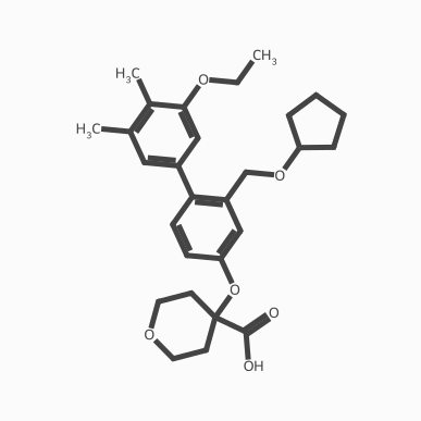 CCOc1cc(-c2ccc(OC3(C(=O)O)CCOCC3)cc2COC2CCCC2)cc(C)c1C